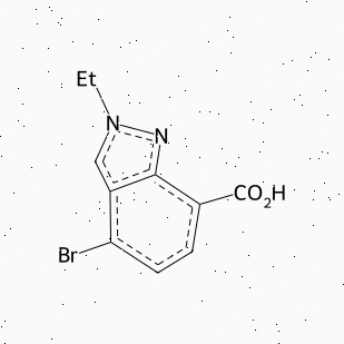 CCn1cc2c(Br)ccc(C(=O)O)c2n1